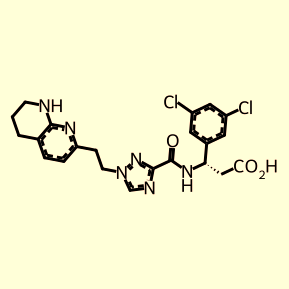 O=C(O)C[C@H](NC(=O)c1ncn(CCc2ccc3c(n2)NCCC3)n1)c1cc(Cl)cc(Cl)c1